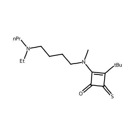 CCCN(CC)CCCCN(C)c1c(C(C)(C)C)c(=S)c1=O